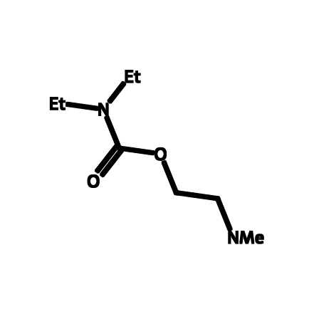 CCN(CC)C(=O)OCCNC